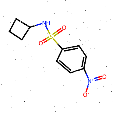 O=[N+]([O-])c1ccc(S(=O)(=O)NC2CCC2)cc1